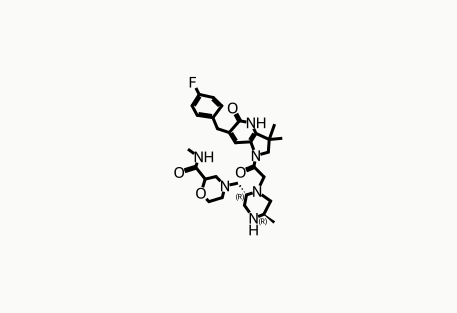 CNC(=O)C1CN(C[C@H]2CN[C@H](C)CN2CC(=O)N2CC(C)(C)c3[nH]c(=O)c(Cc4ccc(F)cc4)cc32)CCO1